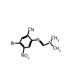 CN(C)C=Nc1cc([N+](=O)[O-])c(Br)cc1C#N